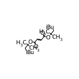 CCC(C)CC(C)(C)OC(=O)/C=C/C(=O)OC(C)(C)CC(C)CC